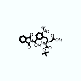 CC(C)(C)OC(=O)N[C@H](CC(=O)O)Cc1cc(C(O)N2C(=O)c3ccccc3C2=O)ccc1[N+](=O)[O-]